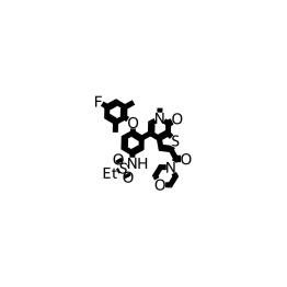 CCS(=O)(=O)Nc1ccc(Oc2c(C)cc(F)cc2C)c(-c2cn(C)c(=O)c3sc(C(=O)N4CCOCC4)cc23)c1